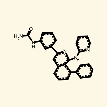 CN(c1ccccn1)c1nc(-c2cccc(NC(N)=O)c2)cc2cccc(-c3ccccc3)c12